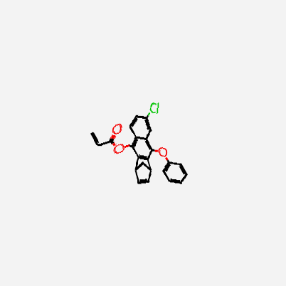 C=CC(=O)Oc1c2c(c(Oc3ccccc3)c3cc(Cl)ccc13)C1C=CC2C1